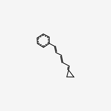 C(=CC=C1CC1)C=Cc1ccccc1